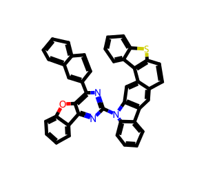 c1ccc2cc(-c3nc(-n4c5ccccc5c5cc6ccc7sc8ccccc8c7c6cc54)nc4c3oc3ccccc34)ccc2c1